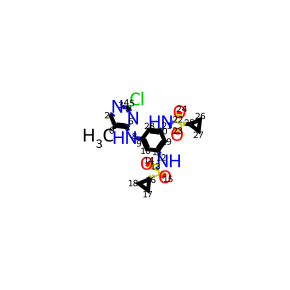 Cc1cnc(Cl)nc1Nc1cc(NS(=O)(=O)C2CC2)cc(NS(=O)(=O)C2CC2)c1